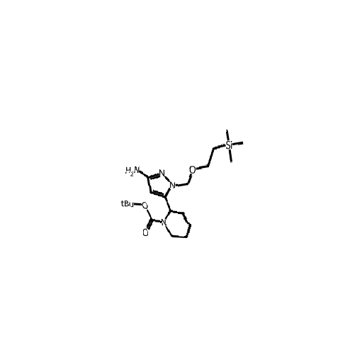 CC(C)(C)OC(=O)N1CCCCC1c1cc(N)nn1COCC[Si](C)(C)C